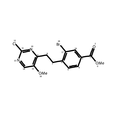 COC(=O)c1ccc(CCc2nc(Cl)ncc2OC)c(Br)c1